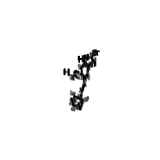 Cc1cc2[nH]c(Br)nc2cc1C#Cc1cncnc1